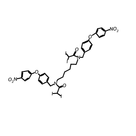 O=C(C(I)I)N(CCCCCCN(Cc1ccc(Oc2ccc([N+](=O)[O-])cc2)cc1)C(=O)C(I)I)Cc1ccc(Oc2ccc([N+](=O)[O-])cc2)cc1